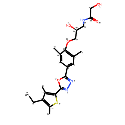 Cc1cc(-c2nnc(-c3sc(C)c(CC(C)C)c3C)o2)cc(C)c1OC[C@@H](O)CNC(=O)CO